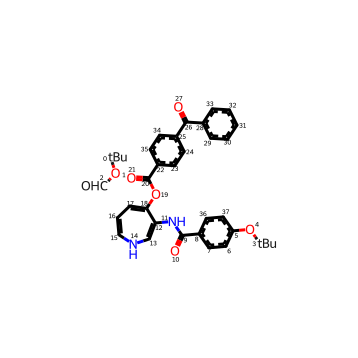 CC(C)(C)OC=O.CC(C)(C)Oc1ccc(C(=O)NC2=CNC=CC=C2OC(=O)c2ccc(C(=O)c3ccccc3)cc2)cc1